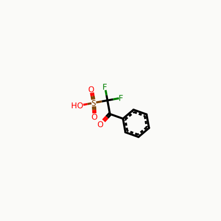 O=C(c1ccccc1)C(F)(F)S(=O)(=O)O